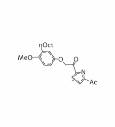 CCCCCCCCc1cc(OCC(=O)c2nc(C(C)=O)cs2)ccc1OC